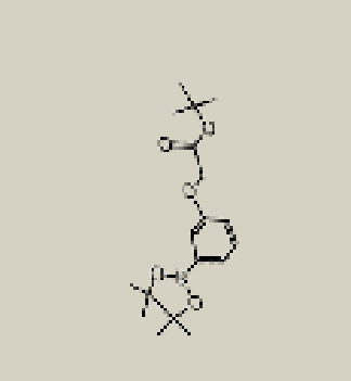 CC(C)(C)OC(=O)COc1cccc(B2OC(C)(C)C(C)(C)O2)c1